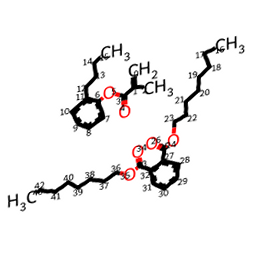 C=C(C)C(=O)Oc1ccccc1CCCC.CCCCCCCCOC(=O)c1ccccc1C(=O)OCCCCCCCC